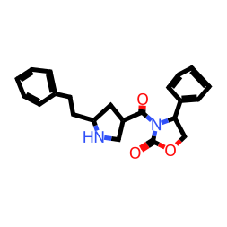 O=C1OCC(c2ccccc2)N1C(=O)C1CNC(CCc2ccccc2)C1